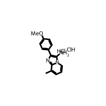 COc1ccc(-c2nc3c(C)cccn3c2N)cc1.Cl.Cl